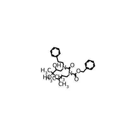 CC(C)CCN(C(=O)OCc1ccccc1)C(=O)N(CCc1ccccc1)CC(O)C(C)(C)O